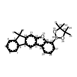 CC1(C)c2ccccc2-c2cc3c(cc21)oc1c(B2OC(C)(C)C(C)(C)O2)cccc13